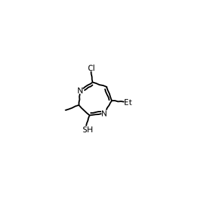 CCC1=CC(Cl)=NC(C)C(S)=N1